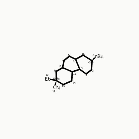 CCCC[C@H]1CCC2C(CCC3C[C@@](C#N)(CC)CCC32)C1